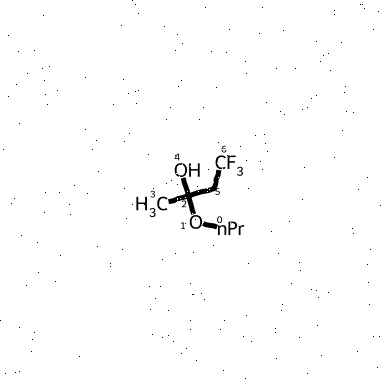 CCCOC(C)(O)CC(F)(F)F